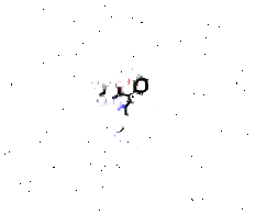 CCOC(=O)C1=C(CSCCN)NC(C)=C(C(=O)OC)C1c1cccc([N+](=O)[O-])c1.O=C(O)/C=C/C(=O)O